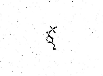 CC(C)(C)Cc1cc(NP(C)(C)=O)on1